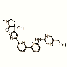 CN1CCC(O)(c2cc(-c3cccc(-c4cccc(Nc5cnc(CO)cn5)n4)n3)no2)C1=O